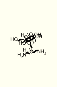 NCCOC(CC(=O)O)(CC(=O)OCCO)C(N)(CC(=O)O)CC(=O)O.NCCOCCN